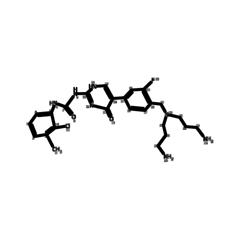 Cc1cccc(NC(=O)Nc2nc(=O)c(-c3ccc(CN(CCCN)CCCN)c(F)c3)c[nH]2)c1Cl